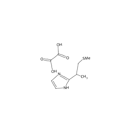 CSCC(C)c1ncc[nH]1.O=C(O)C(=O)O